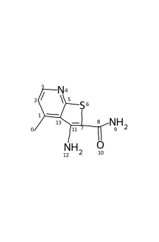 Cc1ccnc2sc(C(N)=O)c(N)c12